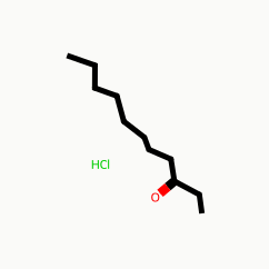 CCCCCCCCC(=O)CC.Cl